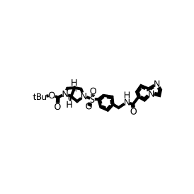 CC(C)(C)OC(=O)N1C[C@@H]2CN(S(=O)(=O)c3ccc(CNC(=O)c4ccc5nccn5c4)cc3)C[C@@H]21